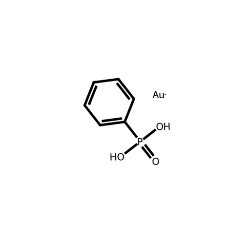 O=P(O)(O)c1ccccc1.[Au]